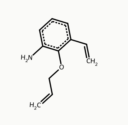 C=CCOc1c(N)cccc1C=C